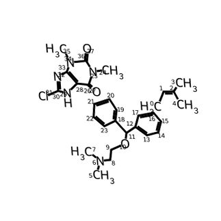 CC=C(C)C.CN(C)CCOC(c1ccccc1)c1ccccc1.Cn1c(=O)c2[nH]c(Cl)nc2n(C)c1=O